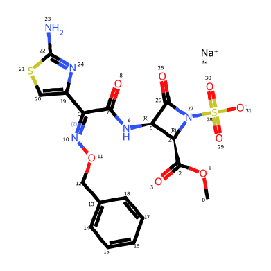 COC(=O)[C@H]1[C@@H](NC(=O)/C(=N\OCc2ccccc2)c2csc(N)n2)C(=O)N1S(=O)(=O)[O-].[Na+]